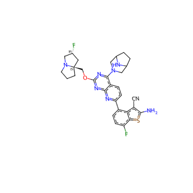 N#Cc1c(N)sc2c(F)ccc(-c3ccc4c(N5CC6CCC(C5)N6)nc(OC[C@@]56CCCN5C[C@H](F)C6)nc4n3)c12